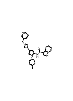 Cc1ccc(-n2nc(C3CN(Cc4cncnc4)C3)cc2NC(=O)c2cnn3cccnc23)cc1